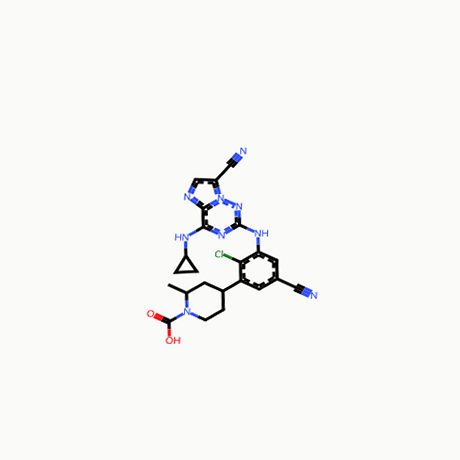 CC1CC(c2cc(C#N)cc(Nc3nc(NC4CC4)c4ncc(C#N)n4n3)c2Cl)CCN1C(=O)O